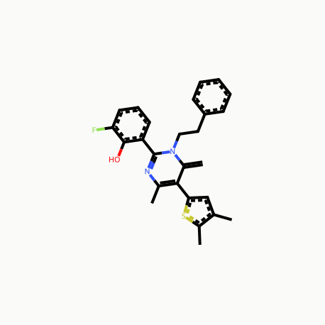 C=C1C(c2cc(C)c(C)s2)=C(C)N=C(c2cccc(F)c2O)N1CCc1ccccc1